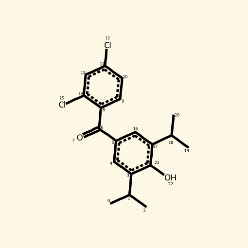 CC(C)c1cc(C(=O)c2ccc(Cl)cc2Cl)cc(C(C)C)c1O